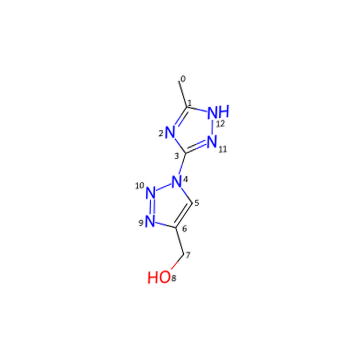 Cc1nc(-n2cc(CO)nn2)n[nH]1